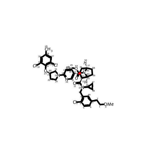 COCCc1ccc(Cl)c(CN(C(=O)[C@H]2[C@H](c3ccc(N4CC[C@@H](Oc5c(Cl)cc(C)cc5Cl)C4)nc3)C[C@H]3CC[C@@H]2N3C(=O)OC(C)(C)C)C2CC2)c1